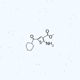 COC(=O)c1cc(C(=O)C2CCCCC2)sc1N